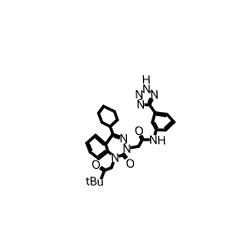 CC(C)(C)C(=O)CN1C(=O)N(CC(=O)Nc2cccc(-c3nn[nH]n3)c2)N=C(C2CCCCC2)c2ccccc21